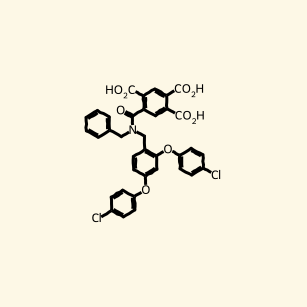 O=C(O)c1cc(C(=O)O)c(C(=O)N(Cc2ccccc2)Cc2ccc(Oc3ccc(Cl)cc3)cc2Oc2ccc(Cl)cc2)cc1C(=O)O